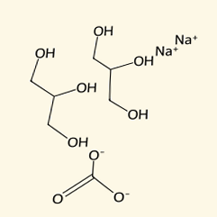 O=C([O-])[O-].OCC(O)CO.OCC(O)CO.[Na+].[Na+]